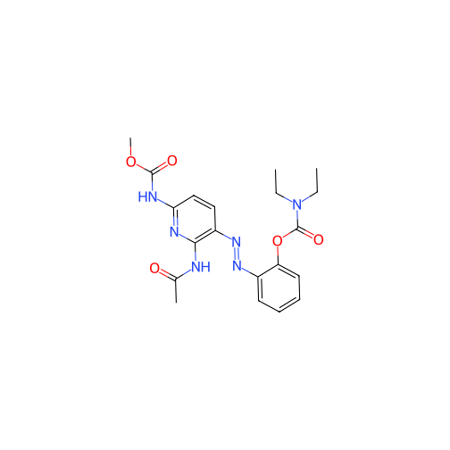 CCN(CC)C(=O)Oc1ccccc1/N=N/c1ccc(NC(=O)OC)nc1NC(C)=O